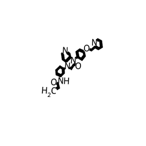 C=CC(=O)NC1=CCCC(N2CC(=O)N(c3ccc(OCc4ccccn4)cc3)c3cnccc32)=C1